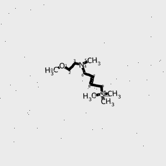 COCCN(C)CC=CC[Si](C)(C)C